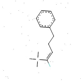 CC[Si](CC)(CC)C(F)=CCCc1ccccc1